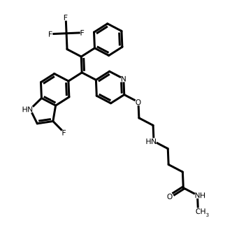 CNC(=O)CCCNCCOc1ccc(/C(=C(/CC(F)(F)F)c2ccccc2)c2ccc3[nH]cc(F)c3c2)cn1